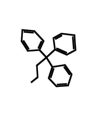 CCCC(c1ccccc1)(c1ccccc1)c1ccccc1